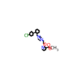 COC(=O)c1cccnc1OCCN1CCN(Cc2ccccc2-c2ccc(Cl)cc2)CC1